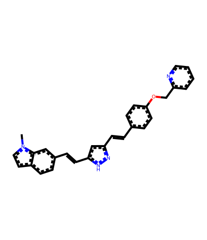 Cn1ccc2ccc(/C=C/c3cc(/C=C/c4ccc(OCc5ccccn5)cc4)n[nH]3)cc21